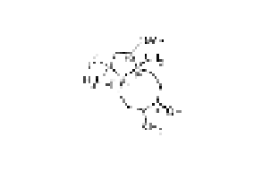 CO[C@H]1CC(C)(C)[C@@H]2CCC(C)[C@H](O)CC[C@@]12C